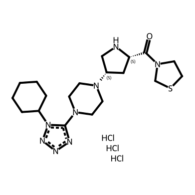 Cl.Cl.Cl.O=C([C@@H]1C[C@H](N2CCN(c3nnnn3C3CCCCC3)CC2)CN1)N1CCSC1